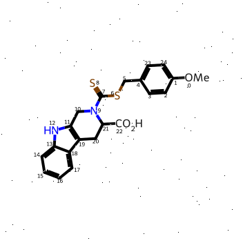 COc1ccc(CSC(=S)N2Cc3[nH]c4ccccc4c3CC2C(=O)O)cc1